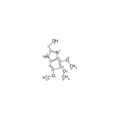 COc1cc2[nH]c(CO)nc2c(OC)c1OC